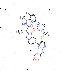 C[C@H](C(=O)N[C@H](C)c1nc(N2CCN(C)CC2)ccc1Cl)N1Cc2ccc(-c3nc(NC4CCOCC4)ncc3Cl)cc2C1=O